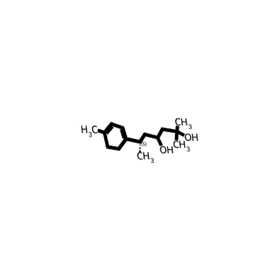 CC1=CC=C([C@@H](C)CC(O)CC(C)(C)O)CC1